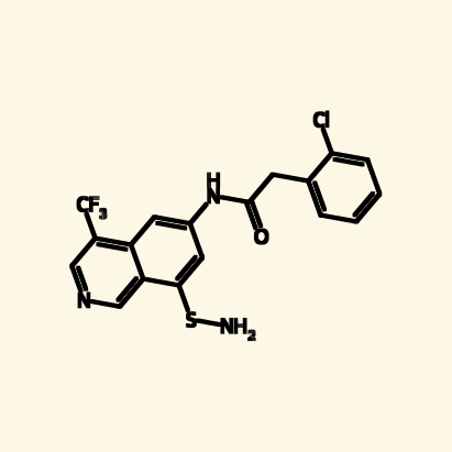 NSc1cc(NC(=O)Cc2ccccc2Cl)cc2c(C(F)(F)F)cncc12